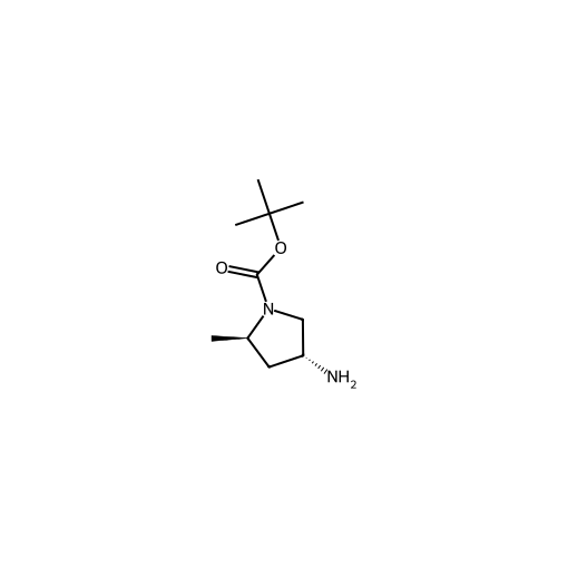 C[C@@H]1C[C@@H](N)CN1C(=O)OC(C)(C)C